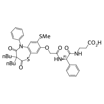 CCCCC1(CCCC)C(=O)Sc2cc(OCC(=O)N[C@@H](C(=O)NCCC(=O)O)c3ccccc3)c(SC)cc2N(c2ccccc2)C1=O